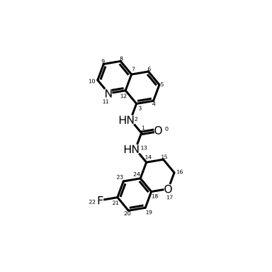 O=C(Nc1cccc2cccnc12)NC1CCOc2ccc(F)cc21